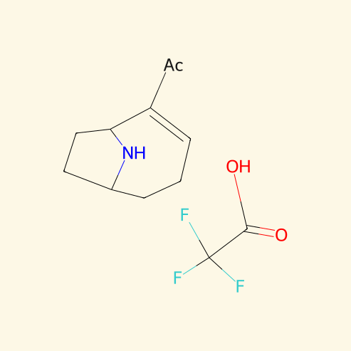 CC(=O)C1=CCCC2CCC1N2.O=C(O)C(F)(F)F